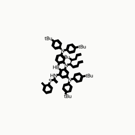 C=C/C=C\[C@H](C(CC=C)C(C)(C)C)N1c2cc(N(c3ccc(C(C)(C)C)cc3)c3ccc(C(C)(C)C)cc3)ccc2Bc2c(NC(=C)Sc3ccccc3C)cc(N(c3ccc(C(C)(C)C)cc3)c3ccc(C(C)(C)C)cc3)cc21